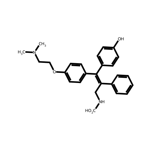 CN(C)CCOc1ccc(/C(=C(\CNC(=O)O)c2ccccc2)c2ccc(O)cc2)cc1